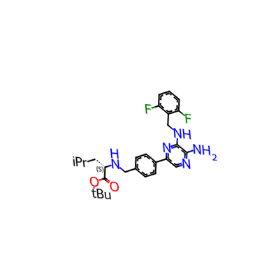 CC(C)C[C@H](NCc1ccc(-c2cnc(N)c(NCc3c(F)cccc3F)n2)cc1)C(=O)OC(C)(C)C